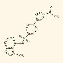 CC(=O)c1cnn(-c2ccc(S(=O)(=O)Nc3cccc4cnn(C)c34)cn2)c1